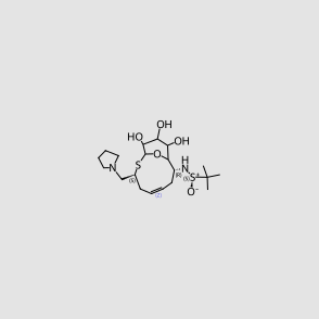 CC(C)(C)[S@@+]([O-])N[C@@H]1C/C=C\C[C@@H](CN2CCCC2)SC2OC1C(O)C(O)C2O